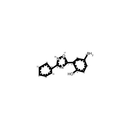 Bc1ccc(O)c(-c2nc(-c3ccccc3)no2)c1